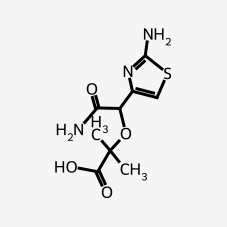 CC(C)(OC(C(N)=O)c1csc(N)n1)C(=O)O